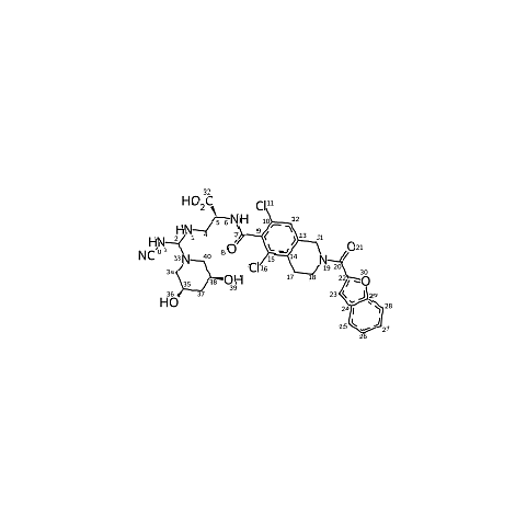 N#CNC(NC[C@H](NC(=O)c1c(Cl)cc2c(c1Cl)CCN(C(=O)c1cc3ccccc3o1)C2)C(=O)O)N1C[C@H](O)C[C@H](O)C1